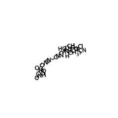 CC1(C)C(NC(=O)c2ccc(N3CCC(CCN4CCN(c5ccc6c(c5)C(=O)N(C5CCC(=O)NC5=O)C6=O)CC4)CC3)nc2)C(C)(C)C1Oc1ccc(C#N)c(Cl)c1